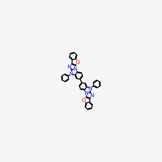 c1ccc(-n2c3cc(-c4ccc5c(c4)n(-c4ccccc4)c4nc6c7ccccc7oc6n54)ccc3n3c4oc5ccccc5c4nc23)cc1